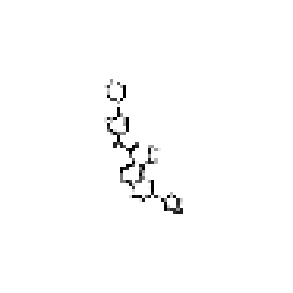 CC(C)Nc1c(C(=O)Nc2ccc(N3CCOCC3)nc2)cnc2ccc(-c3cn[nH]c3)cc12